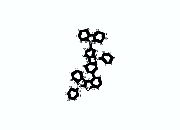 c1ccc(-n2c3cc(-c4cccc5oc6c(c7ccccc7n6-c6ccccc6)c45)ccc3c3ccc(-n4c5ccccc5c5ccccc54)cc32)cc1